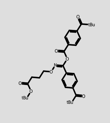 CC(C)(C)OC(=O)CCCON=C(OC(=O)c1ccc(C(=O)C(C)(C)C)cc1)c1ccc(C(=O)C(C)(C)C)cc1